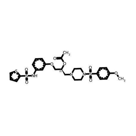 COc1ccc(S(=O)(=O)N2CCN(C[C@@H](COc3cccc(NS(=O)(=O)c4cccs4)c3)OC(C)=O)CC2)cc1